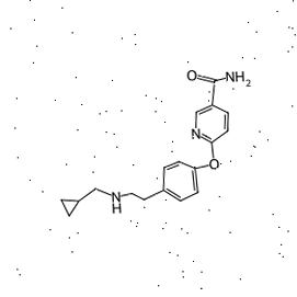 NC(=O)c1ccc(Oc2ccc(CCNCC3CC3)cc2)nc1